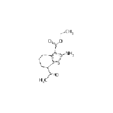 CCOC(=O)c1c(N)sc2c1CCCC2C(C)=O